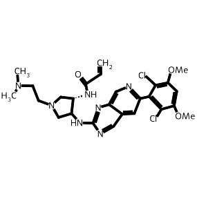 C=CC(=O)N[C@H]1CN(CCN(C)C)CC1Nc1ncc2cc(-c3c(Cl)c(OC)cc(OC)c3Cl)ncc2n1